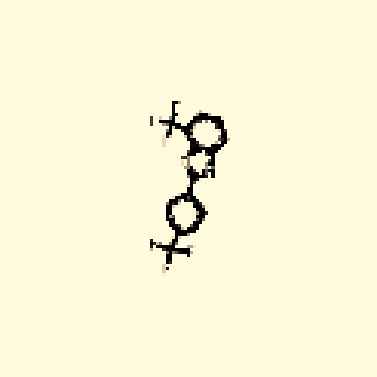 FC(F)(F)c1ccc(-c2nc3cccc(C(F)(F)F)c3o2)cc1